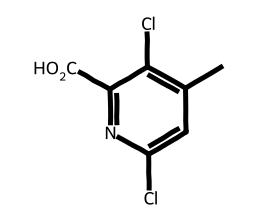 Cc1cc(Cl)nc(C(=O)O)c1Cl